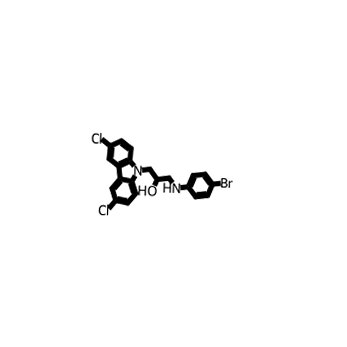 OC(CNc1ccc(Br)cc1)Cn1c2ccc(Cl)cc2c2cc(Cl)ccc21